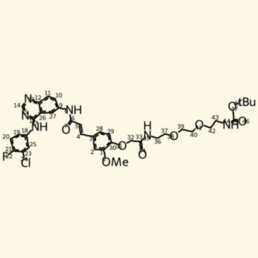 COc1cc(C=CC(=O)Nc2ccc3ncnc(Nc4ccc(F)c(Cl)c4)c3c2)ccc1OCC(=O)NCCOCCOCCNC(=O)OC(C)(C)C